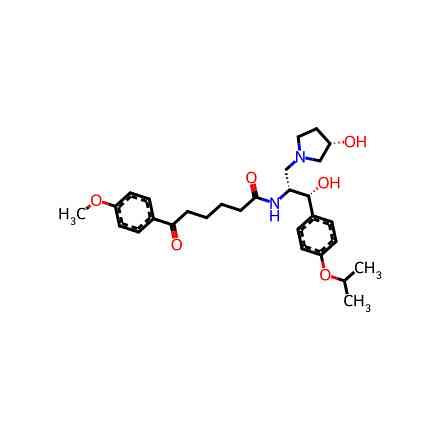 COc1ccc(C(=O)CCCCC(=O)N[C@H](CN2CC[C@H](O)C2)[C@H](O)c2ccc(OC(C)C)cc2)cc1